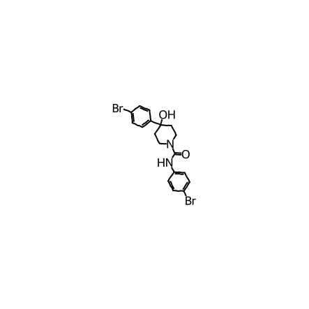 O=C(Nc1ccc(Br)cc1)N1CCC(O)(c2ccc(Br)cc2)CC1